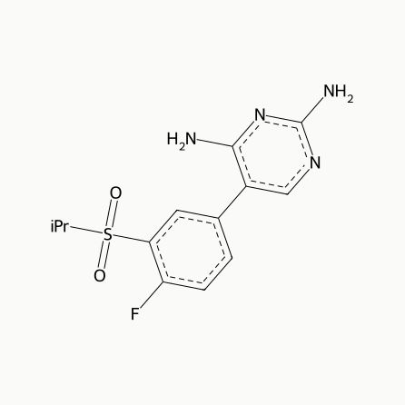 CC(C)S(=O)(=O)c1cc(-c2cnc(N)nc2N)ccc1F